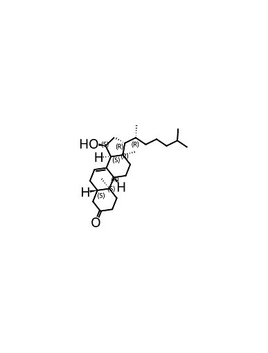 CC(C)CCC[C@@H](C)[C@H]1C[C@H](O)[C@@H]2C3=CC[C@H]4CC(=O)CC[C@]4(C)[C@H]3CC[C@]12C